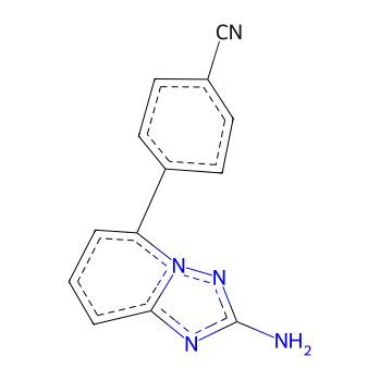 N#Cc1ccc(-c2cccc3nc(N)nn23)cc1